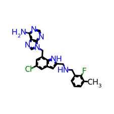 Cc1cccc(CNCc2cc3cc(Cl)cc(Cn4cnc5c(N)ncnc54)c3[nH]2)c1F